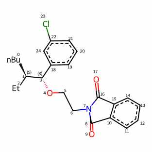 CCCC[C@H](CC)[C@@H](OCCN1C(=O)c2ccccc2C1=O)c1cccc(Cl)c1